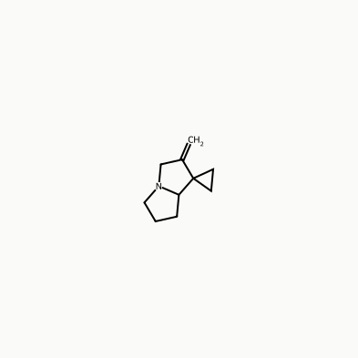 C=C1CN2CCCC2C12CC2